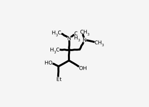 CCC(O)C(O)C(C)(CN(C)C)N(C)C